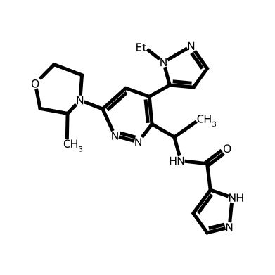 CCn1nccc1-c1cc(N2CCOCC2C)nnc1C(C)NC(=O)c1ccn[nH]1